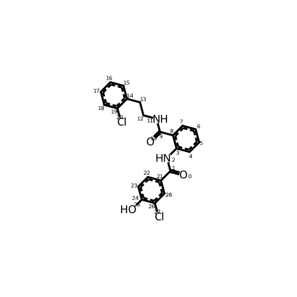 O=C(Nc1ccccc1C(=O)NCCc1ccccc1Cl)c1ccc(O)c(Cl)c1